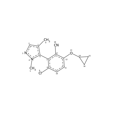 Cc1cnn(C)c1-c1c(Cl)ccc(OC2CC2)c1C#N